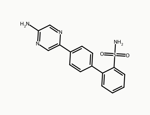 Nc1cnc(-c2ccc(-c3ccccc3S(N)(=O)=O)cc2)cn1